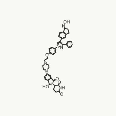 O=C1CCC(N2C(=O)c3cc(N4CCN(CCOc5ccc(-n6cc(-c7ccc8c(c7)CC/C8=N\O)c(-c7ccncc7)n6)cc5)CC4)ccc3C2O)C(=O)N1